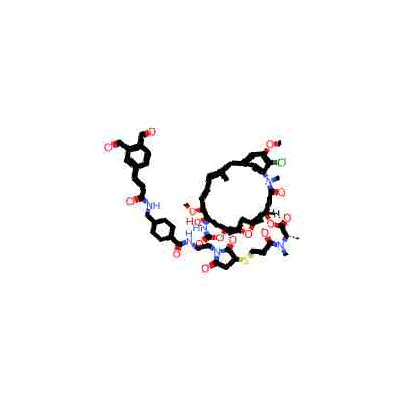 COc1cc2cc(c1Cl)N(C)C(=O)C[C@H](OC(=O)[C@H](C)N(C)C(=O)CCSC1CC(=O)N(CCNC(=O)C3CCC(CNC(=O)CCc4ccc(C=O)c(C=O)c4)CC3)C1=O)C1(C)CC(C)(O1)C1CC(O)(NC(=O)O1)C(OC)/C=C/C=C(\C)C2